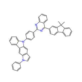 CC1(C)c2ccccc2-c2ccc(-c3nc(-c4ccc(-n5c6ccccc6c6cc7c(ccn7-c7ccccc7)cc65)cc4)nc4ccccc34)cc21